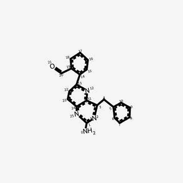 Nc1nc(Cc2ccccc2)c2nc(-c3ccccc3C=O)ccc2n1